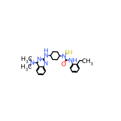 CCc1ccccc1NC(=O)N(S)C1CCC(Nc2nc(N(C)C)c3ccccc3n2)CC1